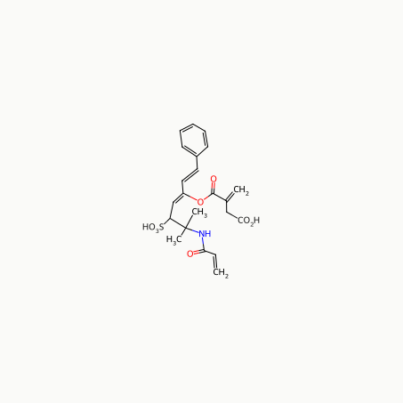 C=CC(=O)NC(C)(C)C(C=C(C=Cc1ccccc1)OC(=O)C(=C)CC(=O)O)S(=O)(=O)O